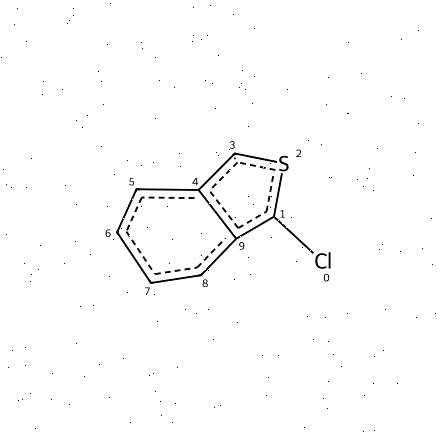 Clc1s[c]c2ccccc12